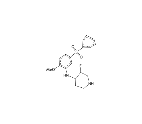 COc1ccc(S(=O)(=O)c2ccccc2)cc1NC1CCNCC1F